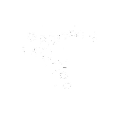 CC(C)C1=C2[C@H]3CC[C@@H]4[C@@]5(C)CC[C@H](OC(=O)CC(C)(C)C(=O)O)C(C)(C)[C@@H]5CC[C@@]4(C)[C@]3(C)CC[C@@]2([C@H](O)c2nnc(-c3ccc(F)c(CC(C)(CC(=O)O[C@H]4CC[C@]5(C)[C@H]6CC[C@@H]7C8=C(C(C)C)C(=O)C[C@]8([C@@H](O)c8nnc(-c9ccc(F)cn9)n8CCN)CC[C@@]7(C)[C@]6(C)CC[C@H]5C4(C)C)C(=O)O)c3)n2CCN)CC1=O